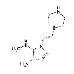 CNc1c(N)cnn1CCN1CCNCC1